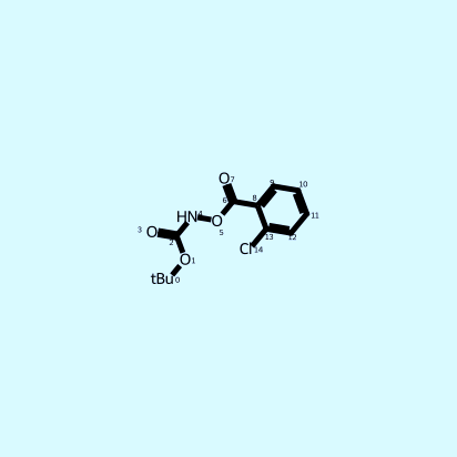 CC(C)(C)OC(=O)NOC(=O)c1ccccc1Cl